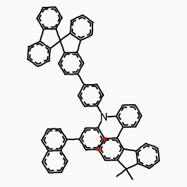 CC1(C)c2ccccc2-c2c(-c3ccccc3N(c3ccc(-c4ccc5c(c4)-c4ccccc4C54c5ccccc5-c5ccccc54)cc3)c3cccc(-c4cccc5ccccc45)c3)cccc21